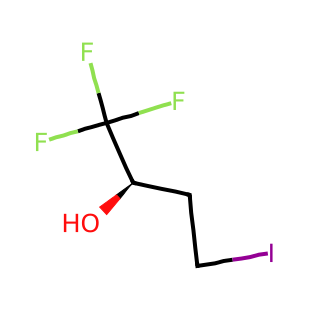 O[C@H](CCI)C(F)(F)F